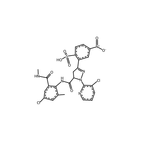 CNC(=O)c1cc(Cl)cc(C)c1NC(=O)C1CC(c2cc([N+](=O)[O-])ccc2S(=O)(=O)O)=NN1c1ncccc1Cl